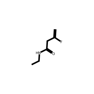 C=C(F)CC(=O)NCC